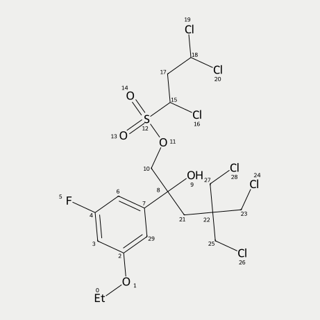 CCOc1cc(F)cc(C(O)(COS(=O)(=O)C(Cl)CC(Cl)Cl)CC(CCl)(CCl)CCl)c1